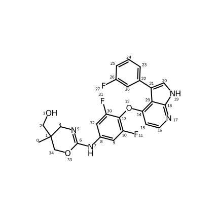 CC1(CO)CN=C(Nc2cc(F)c(Oc3ccnc4[nH]cc(-c5cccc(F)c5)c34)c(F)c2)OC1